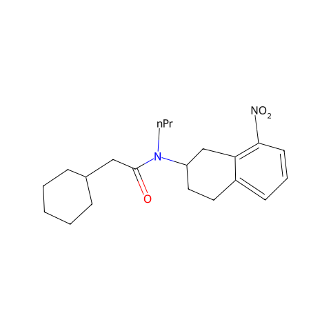 CCCN(C(=O)CC1CCCCC1)C1CCc2cccc([N+](=O)[O-])c2C1